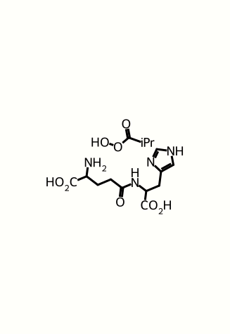 CC(C)C(=O)OO.NC(CCC(=O)NC(Cc1c[nH]cn1)C(=O)O)C(=O)O